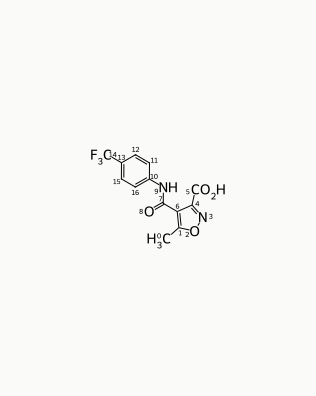 Cc1onc(C(=O)O)c1C(=O)Nc1ccc(C(F)(F)F)cc1